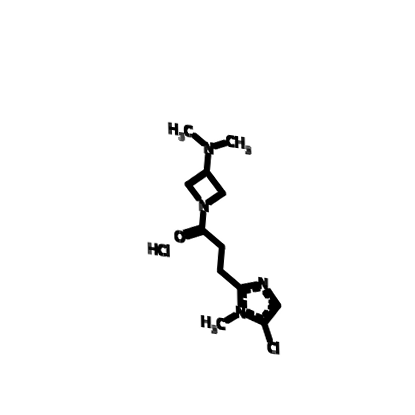 CN(C)C1CN(C(=O)CCc2ncc(Cl)n2C)C1.Cl